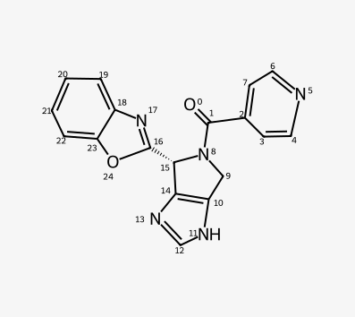 O=C(c1ccncc1)N1Cc2[nH]cnc2[C@@H]1c1nc2ccccc2o1